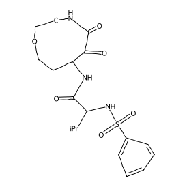 CC(C)C(NS(=O)(=O)c1ccccc1)C(=O)NC1CCOCCNC(=O)C1=O